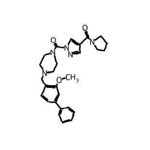 COc1cc(-c2ccccc2)ccc1CN1CCN(C(=O)n2cc(C(=O)N3CCCC3)cn2)CC1